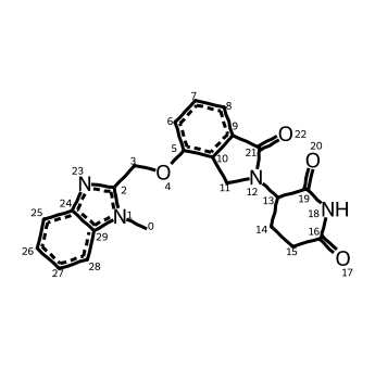 Cn1c(COc2cccc3c2CN(C2CCC(=O)NC2=O)C3=O)nc2ccccc21